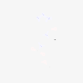 C[C@@H]1CN(C(=O)c2cnn[nH]2)[C@@H](C)CN1S(=O)(=O)c1ccccc1OC(F)(F)F